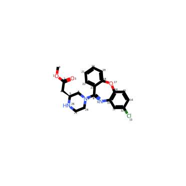 COC(=O)C[C@H]1CN(C2=Nc3cc(Cl)ccc3Oc3ccccc32)CCN1